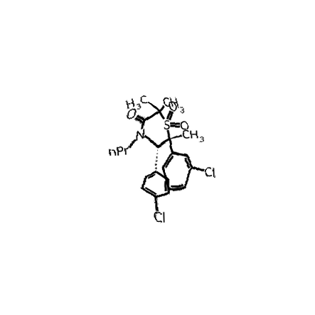 CCCN1C(=O)C(C)(C)S(=O)(=O)[C@](C)(c2cccc(Cl)c2)[C@@H]1c1ccc(Cl)cc1